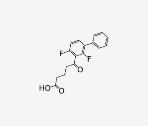 O=C(O)CCCC(=O)c1c(F)ccc(-c2ccccc2)c1F